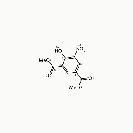 COC(=O)c1cc(C(=O)OC)c(O)c([N+](=O)[O-])c1